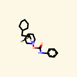 O=C(Nc1ccccc1)O[N+]12CCC(CC1)[C@@H](CC1CCCCC1)C2